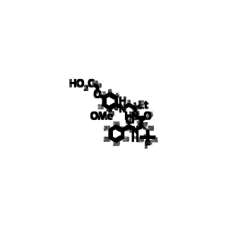 CC[C@@H](CNc1ccc(OCC(=O)O)cc1OC)NC(=O)[C@H](CC(C)(C)F)N[C@@H](c1ccccc1)C(F)(F)F